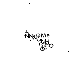 COc1cc(NC(=O)C(=O)c2c(-c3ccccc3)cc3ccccn23)ccc1N1CCN(c2cc(C)cc(C)n2)CC1